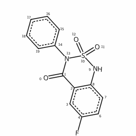 O=C1c2cc(F)ccc2NS(=O)(=O)N1c1ccccc1